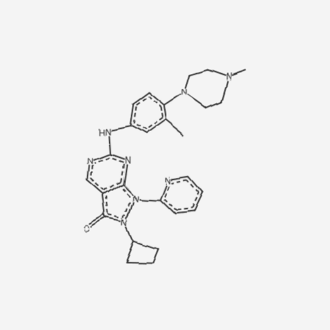 Cc1cc(Nc2ncc3c(=O)n(C4CCC4)n(-c4ccccn4)c3n2)ccc1N1CCN(C)CC1